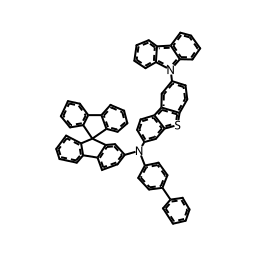 c1ccc(-c2ccc(N(c3ccc4c(c3)C3(c5ccccc5-c5ccccc53)c3ccccc3-4)c3ccc4c(c3)sc3ccc(-n5c6ccccc6c6ccccc65)cc34)cc2)cc1